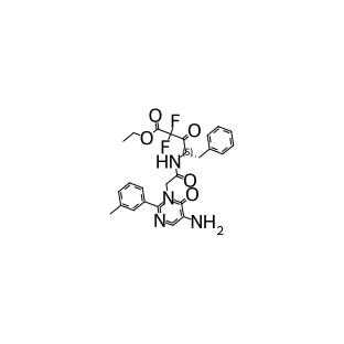 CCOC(=O)C(F)(F)C(=O)[C@H](Cc1ccccc1)NC(=O)Cn1c(-c2cccc(C)c2)ncc(N)c1=O